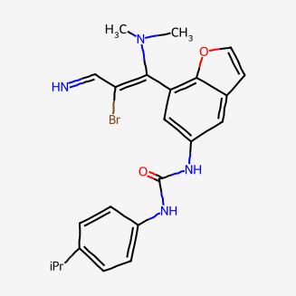 CC(C)c1ccc(NC(=O)Nc2cc(/C(=C(\Br)C=N)N(C)C)c3occc3c2)cc1